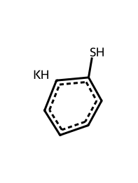 Sc1ccccc1.[KH]